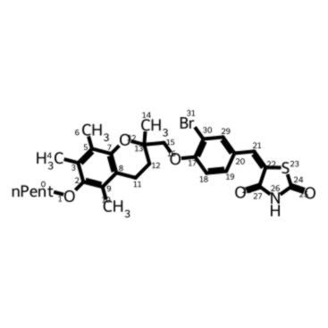 CCCCCOc1c(C)c(C)c2c(c1C)CCC(C)(COc1ccc(/C=C3/SC(=O)NC3=O)cc1Br)O2